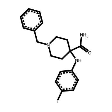 NC(=O)C1(Nc2ccc(I)cc2)CCN(Cc2ccccc2)CC1